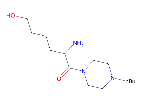 CCCCN1CCN(C(=O)C(N)CCCCO)CC1